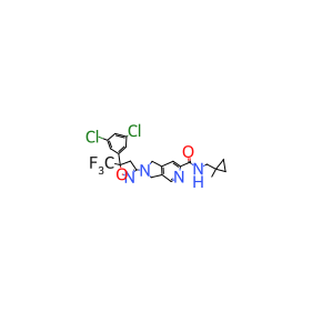 CC1(CNC(=O)c2cc3c(cn2)CN(C2=NOC(c4cc(Cl)cc(Cl)c4)(C(F)(F)F)C2)C3)CC1